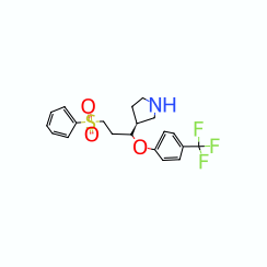 O=S(=O)(CCC(Oc1ccc(C(F)(F)F)cc1)[C@H]1CCNC1)c1ccccc1